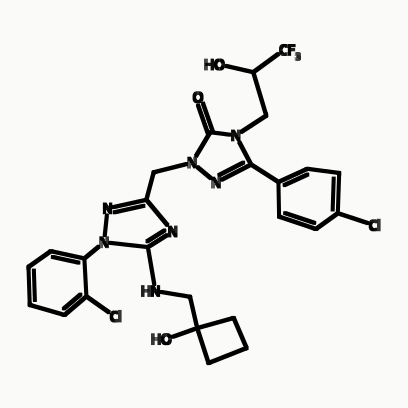 O=c1n(Cc2nc(NCC3(O)CCC3)n(-c3ccccc3Cl)n2)nc(-c2ccc(Cl)cc2)n1CC(O)C(F)(F)F